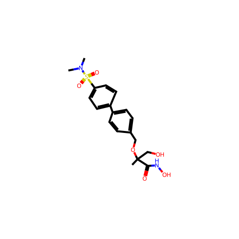 CN(C)S(=O)(=O)c1ccc(-c2ccc(COC(C)(CO)C(=O)NO)cc2)cc1